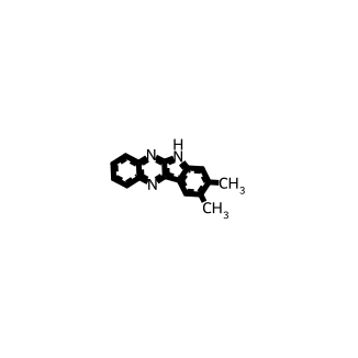 Cc1cc2[nH]c3nc4ccccc4nc3c2cc1C